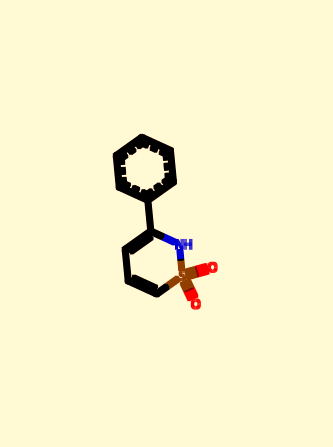 O=S1(=O)C=CC=C(c2ccccc2)N1